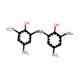 CC(C)(C)c1cc([N+](=O)[O-])cc([N+](=O)[O-])c1O.CCC(C)c1cc([N+](=O)[O-])cc([N+](=O)[O-])c1O